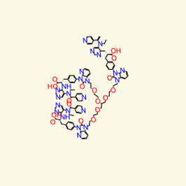 C=C(c1ccncc1)N(CC)c1cncnc1C[C@@H](Cc1ccc(-n2c(=O)n(CCOCCOCC(COCCOCCn3c(=O)n(-c4ccc(C[C@H](Nc5ncncc5N(CC)C(=O)c5ccncc5)C(=O)O)cc4)c4ncccc43)OCCOCCn3c(=O)n(-c4ccc(C[C@H](Nc5ncncc5N(CC)C(=O)c5ccncc5)C(=O)O)cc4)c4ncccc43)c3cccnc32)cc1)C(=O)O